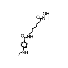 CCNc1ccc(C(=O)NCCCCCCC(=O)NO)cc1